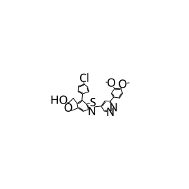 COc1ccc(-c2cc(-c3nc4cc(C)c(CC(=O)O)c(-c5ccc(Cl)cc5)c4s3)cnn2)cc1OC